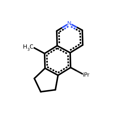 Cc1c2c(c(C(C)C)c3ccncc13)CCC2